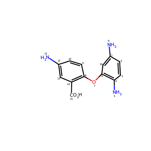 Nc1ccc(N)c(Oc2ccc(N)cc2C(=O)O)c1